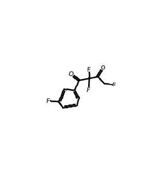 O=C(CF)C(F)(F)C(=O)c1cccc(F)c1